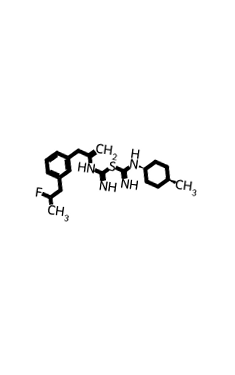 C=C(Cc1cccc(CC(C)F)c1)NC(=N)SC(=N)N[C@H]1CC[C@H](C)CC1